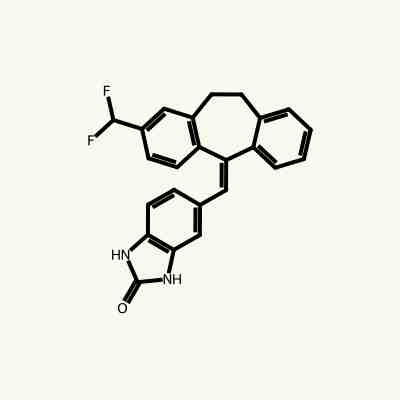 O=c1[nH]c2ccc(/C=C3/c4ccccc4CCc4cc(C(F)F)ccc43)cc2[nH]1